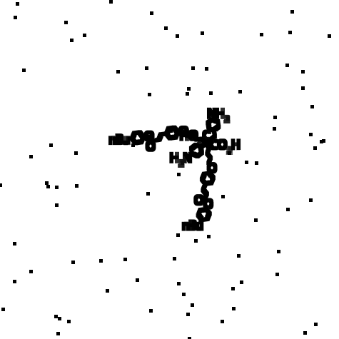 CCCCc1ccc(OC(=O)C=Cc2ccc(OCCCCC(CCCCOc3ccc(C=CC(=O)Oc4ccc(CCCC)cc4)cc3)(c3ccc(N)cc3)C(Cc3ccc(N)cc3)(C(=O)O)C(=O)O)cc2)cc1